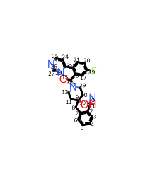 N#Cc1ccccc1CC1(O)CCN(C(=O)c2cc(F)ccc2-c2ccncn2)CC1